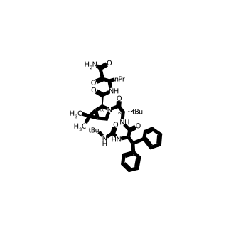 CCCC(NC(=O)[C@@H]1C2C(CN1C(=O)[C@@H](NC(=O)C(NC(=O)NC(C)(C)C)C(c1ccccc1)c1ccccc1)C(C)(C)C)C2(C)C)C(=O)C(N)=O